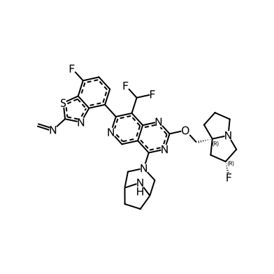 C=Nc1nc2c(-c3ncc4c(N5CC6CCC(C5)N6)nc(OC[C@]56CCCN5C[C@H](F)C6)nc4c3C(F)F)ccc(F)c2s1